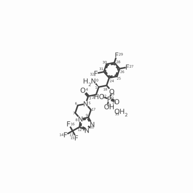 N[C@H](CC(=O)N1CCn2c(nnc2C(F)(F)F)C1)C(OP(=O)(O)O)c1cc(F)c(F)cc1F.O